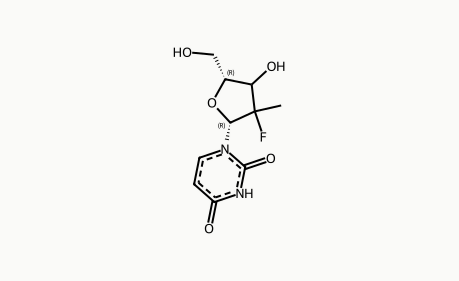 CC1(F)C(O)[C@@H](CO)O[C@H]1n1ccc(=O)[nH]c1=O